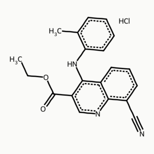 CCOC(=O)c1cnc2c(C#N)cccc2c1Nc1ccccc1C.Cl